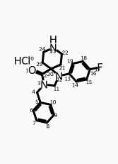 Cl.O=C1N(Cc2ccccc2)CN(c2ccc(F)cc2)C12CCNCC2